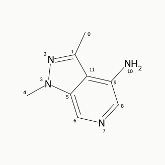 Cc1nn(C)c2cncc(N)c12